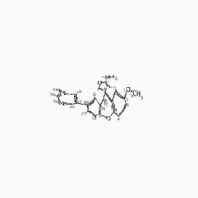 COc1ccc2c(c1)[C@]1(COC(N)=N1)c1cc(-c3cncnc3)cnc1O2